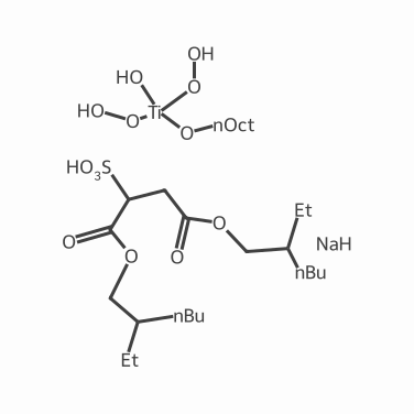 CCCCC(CC)COC(=O)CC(C(=O)OCC(CC)CCCC)S(=O)(=O)O.CCCCCCCC[O][Ti]([OH])([O]O)[O]O.[NaH]